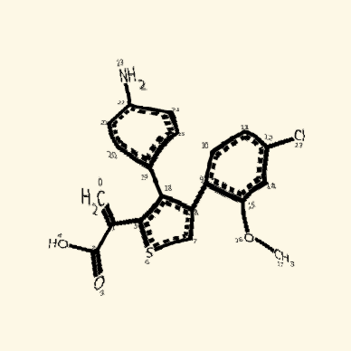 C=C(C(=O)O)c1scc(-c2ccc(Cl)cc2OC)c1-c1ccc(N)cc1